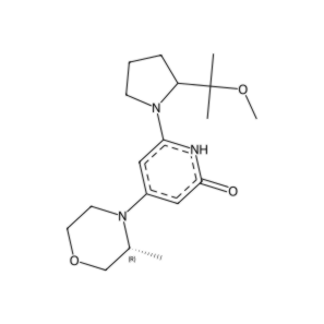 COC(C)(C)C1CCCN1c1cc(N2CCOC[C@H]2C)cc(=O)[nH]1